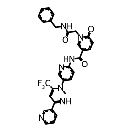 CN(/C(=C\C(=N)c1cccnc1)C(F)(F)F)c1ccc(NC(=O)c2ccc(=O)n(CC(=O)NCc3ccccc3)c2)nc1